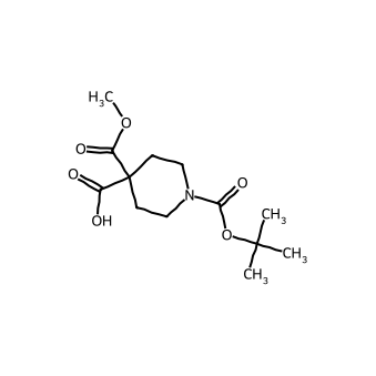 COC(=O)C1(C(=O)O)CCN(C(=O)OC(C)(C)C)CC1